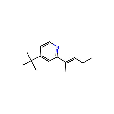 CC/C=C(\C)c1cc(C(C)(C)C)ccn1